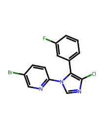 Fc1cccc(-c2c(Cl)ncn2-c2ccc(Br)cn2)c1